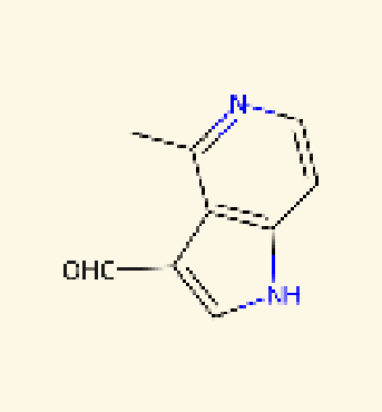 Cc1nccc2[nH]cc(C=O)c12